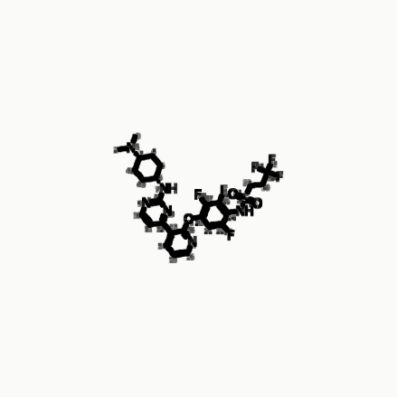 CN(C)[C@H]1CC[C@H](Nc2nccc(-c3cccnc3Oc3cc(F)c(NS(=O)(=O)CCC(F)(F)F)c(F)c3F)n2)CC1